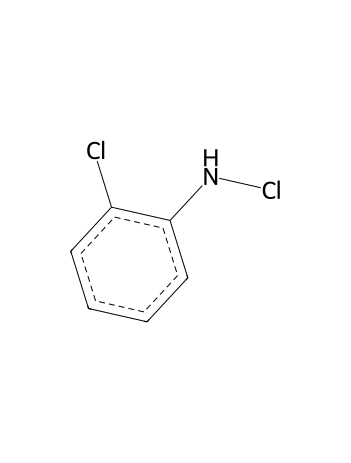 ClNc1ccccc1Cl